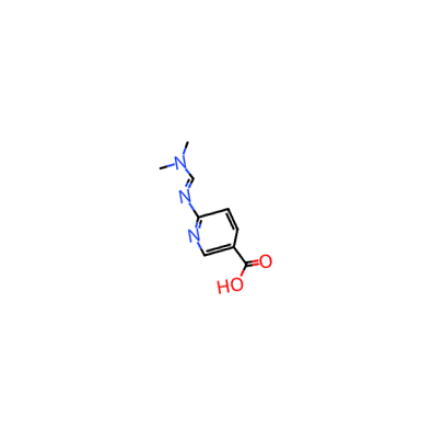 CN(C)C=Nc1ccc(C(=O)O)cn1